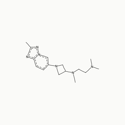 Cc1nc2ccc(N3CC(N(C)CCN(C)C)C3)cn2n1